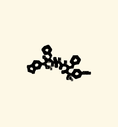 COc1ccc(N(C)C(=O)C(Cc2ccccc2)NC(=O)NS(=O)(=O)N[C@@H](Cc2ccccc2)C(=O)N(C)c2ccc3c(c2)OCO3)cc1